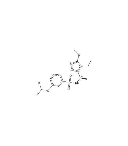 CCn1c(OC)nnc1[C@@H](C)NS(=O)(=O)c1cccc(OC(F)F)c1